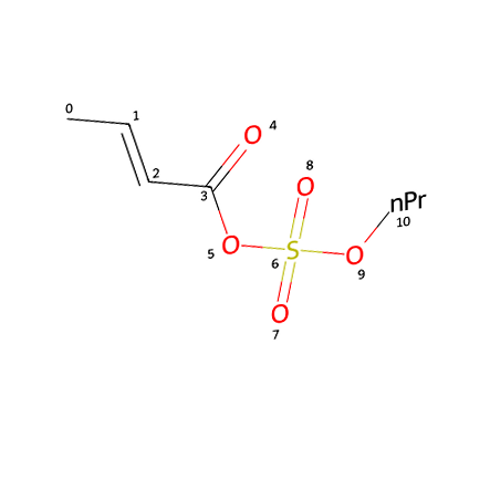 CC=CC(=O)OS(=O)(=O)OCCC